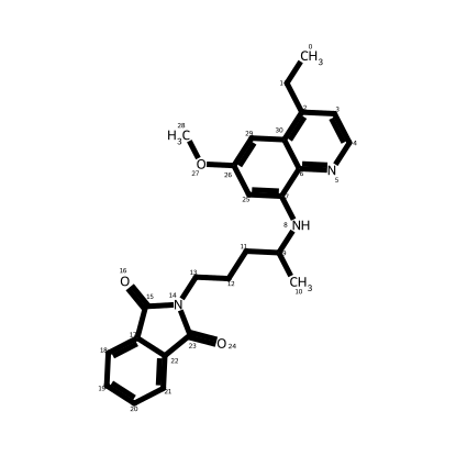 CCc1ccnc2c(NC(C)CCCN3C(=O)c4ccccc4C3=O)cc(OC)cc12